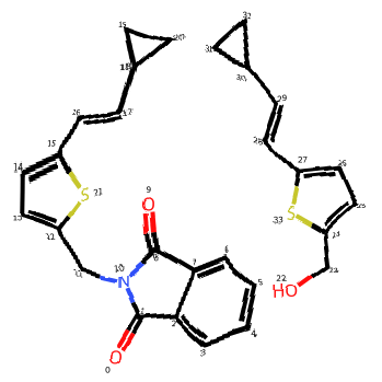 O=C1c2ccccc2C(=O)N1Cc1ccc(C=CC2CC2)s1.OCc1ccc(C=CC2CC2)s1